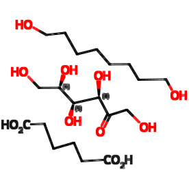 O=C(CO)[C@H](O)[C@@H](O)[C@H](O)CO.O=C(O)CCCCC(=O)O.OCCCCCCCCO